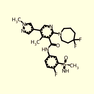 Cc1c(-c2cnn(C)c2)cnc(N2CCCC(F)(F)CC2)c1C(=O)Nc1ccc(F)c([S@@](C)(=N)=O)c1